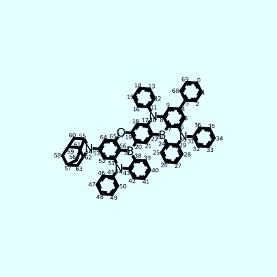 c1ccc(-c2cc3c4c(c2)N(c2ccccc2)c2cc5c(cc2B4c2ccccc2N3c2ccccc2)B2c3ccccc3N(c3ccccc3)c3cc(N4C6CC7CC(C6)CC4C7)cc(c32)O5)cc1